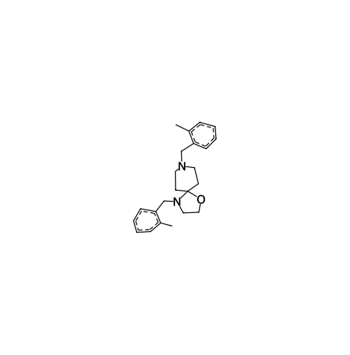 Cc1ccccc1CN1CCC2(CC1)OCCN2Cc1ccccc1C